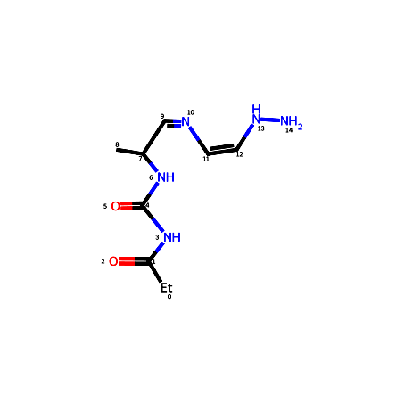 CCC(=O)NC(=O)NC(C)/C=N\C=C/NN